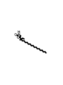 CCCCCCCCCCCCCCCCCC(C)(CC)c1c[nH]c(=O)o1